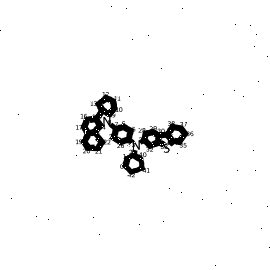 C1=CC(N(c2ccc(-n3c4ccccc4c4ccc5ccccc5c43)cc2)c2ccc3c(c2)sc2ccccc23)=CCC1